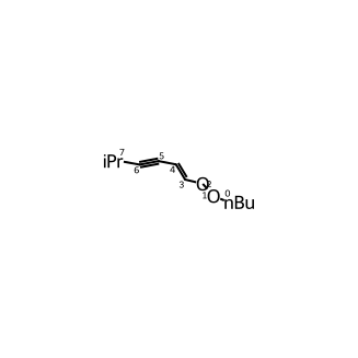 CCCCOOC=CC#CC(C)C